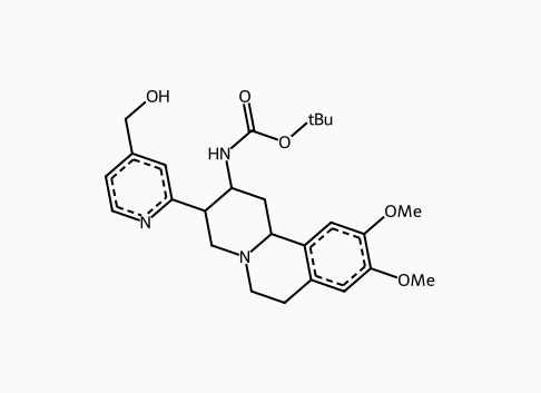 COc1cc2c(cc1OC)C1CC(NC(=O)OC(C)(C)C)C(c3cc(CO)ccn3)CN1CC2